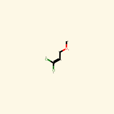 COCC=C(Cl)Cl